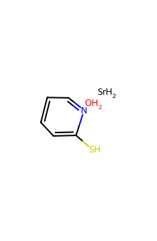 O.Sc1ccccn1.[SrH2]